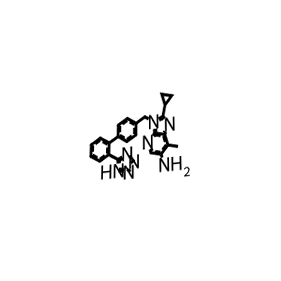 Cc1c(N)cnc2c1nc(C1CC1)n2Cc1ccc(-c2ccccc2-c2nnn[nH]2)cc1